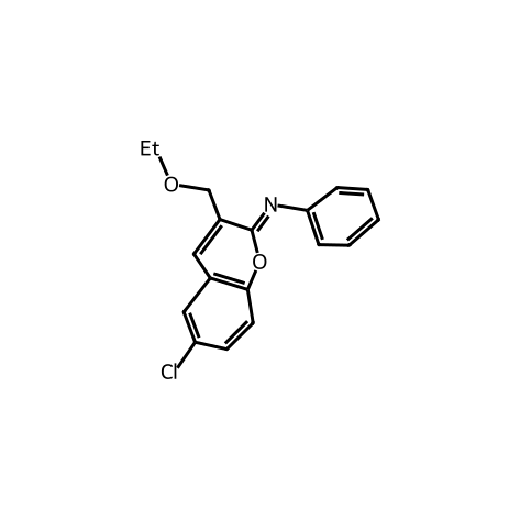 CCOCc1cc2cc(Cl)ccc2o/c1=N\c1ccccc1